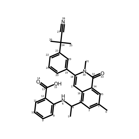 Cc1cc(C(C)Nc2ccccc2C(=O)O)c2cc(-c3cccc(C(C)(C)C#N)c3)n(C)c(=O)c2c1